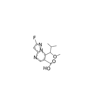 COC(c1c(C(=O)O)cnc2cc(F)nn12)C(C)C